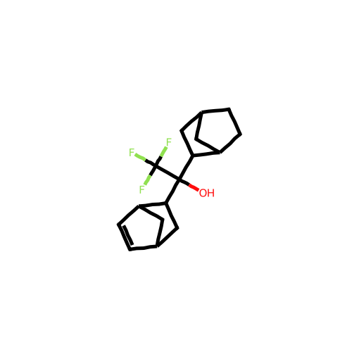 OC(C1CC2C=CC1C2)(C1CC2CCC1C2)C(F)(F)F